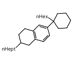 CCCCCCCC1CCc2cc(C3(CCCCCC)CCCCC3)ccc2C1